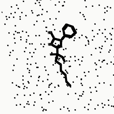 CCCCCCC(C)(CC)C1=NN(c2ccccc2)C(O)N1